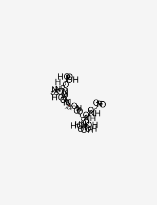 Cc1c(-c2ccc(N3CCc4c(OCCCP(=O)(O)O)ccc(C(=O)Nc5nc6ccccc6s5)c4C3)nc2C(=O)O)cnn1CC12CC3(C)CC(C)(C1)CC(OCCN(C)C(=O)OC/C=C/c1ccc(O[C@@H]4N[C@H](C(=O)O)[C@@H](O)[C@H](O)[C@H]4O)c(NC(=O)CCNC(=O)CCCCCN4C(=O)C=CC4=O)c1)(C3)C2